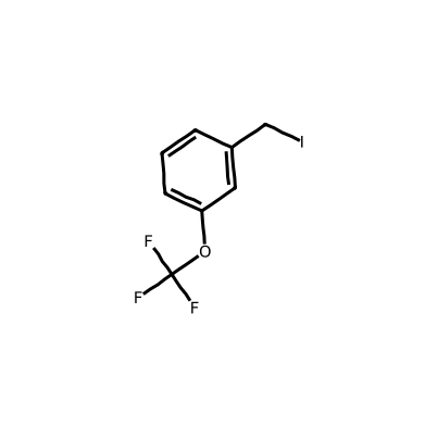 FC(F)(F)Oc1cccc(CI)c1